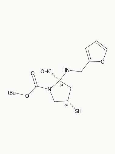 CC(C)(C)OC(=O)N1C[C@@H](S)C[C@]1(C=O)NCc1ccco1